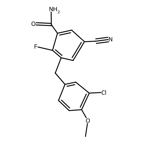 COc1ccc(Cc2cc(C#N)cc(C(N)=O)c2F)cc1Cl